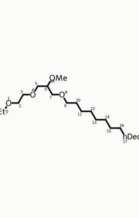 [CH2]COCCOCC(COCCCCCCCCCCCCCCCCCC)OC